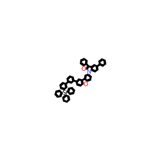 C1=CC([Si](c2ccccc2)(c2ccccc2)c2cccc(-c3cccc(-c4ccc5oc6ccc(-n7c8ccc(-c9ccccc9)cc8c8c9ccccc9oc87)cc6c5c4)c3)c2)=CCC1